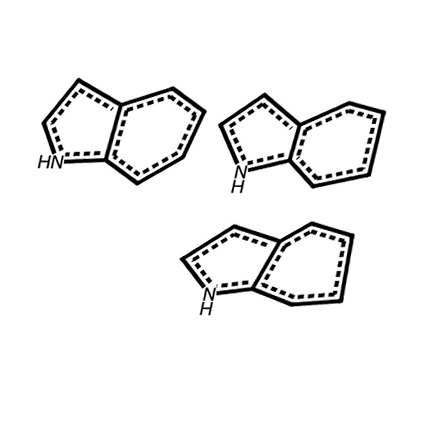 c1ccc2[nH]ccc2c1.c1ccc2[nH]ccc2c1.c1ccc2[nH]ccc2c1